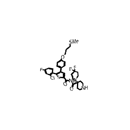 CSCCCOc1ccc(-c2cc(C(=O)NC(=O)C3(N4CCC(F)(F)CC4)CCNCC3)sc2-c2ccc(F)cc2Cl)cc1